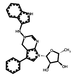 C[C@H]1O[C@@H](n2cc(-c3ccccc3)c3c2N=CN(Nc2c[nH]c4ccccc24)C3)[C@H](O)[C@@H]1O